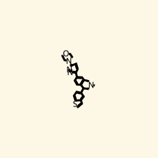 CN1Cc2cc(-c3ccc(N4CCOCC4)nn3)ccc2C(c2ccc3sccc3c2)C1